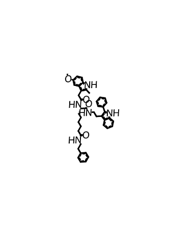 COc1ccc2[nH]c(C)c(CC(=O)N[C@@H](CCCCCC(=O)NCCc3ccccc3)C(=O)NCCc3c(-c4ccccc4)[nH]c4ccccc34)c2c1